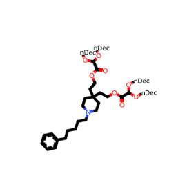 CCCCCCCCCCOC(OCCCCCCCCCC)C(=O)OCCC1(CCOC(=O)C(OCCCCCCCCCC)OCCCCCCCCCC)CCN(CCCCCc2ccccc2)CC1